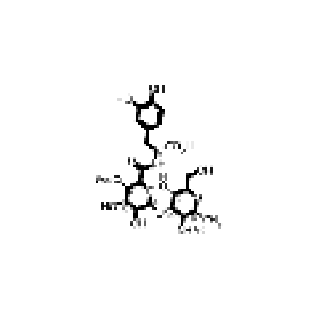 CO[C@@H]1C(C(=O)N[C@H](Cc2ccc(O)c(O)c2)C(=O)O)O[C@@H](O[C@@H]2C(NC(C)=O)[C@H](C)OC(CO)[C@H]2O)C(O)[C@H]1O